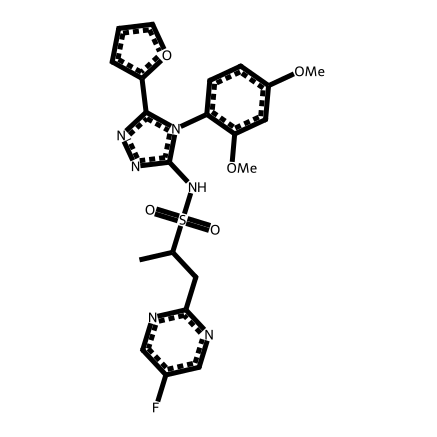 COc1ccc(-n2c(NS(=O)(=O)C(C)Cc3ncc(F)cn3)nnc2-c2ccco2)c(OC)c1